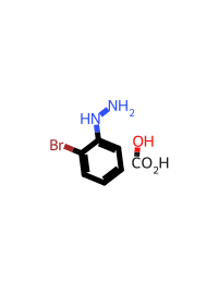 NNc1ccccc1Br.O=C(O)O